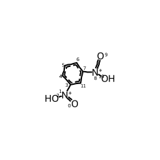 O=[N+](O)c1cccc([N+](=O)O)c1